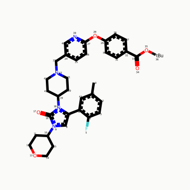 Cc1ccc(F)c(-c2cn(C3CCOCC3)c(=O)n2C2CCN(Cc3ccc(Oc4ccc(C(=O)OC(C)(C)C)cc4)nc3)CC2)c1